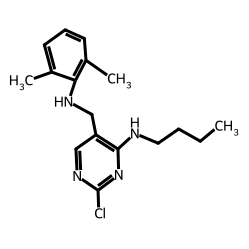 CCCCNc1nc(Cl)ncc1CNc1c(C)cccc1C